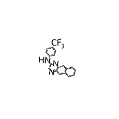 FC(F)(F)c1ccc(Nc2cnc3cc4ccccc4cc3n2)cc1